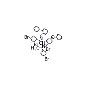 CC(/N=C/c1ccc(Oc2ccccc2)cc1)c1ccc(Br)cc1Br.CC(/N=C/c1ccccc1-c1ccccc1)c1ccc(Br)cc1Br